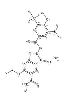 CCOc1cc2c(nc1C(=O)NC)C(=N)N(CC(=O)c1cc(N(C)C)c(OC)c(C(C)(C)C)c1)C2.Cl